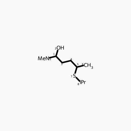 CNC(O)CCC(C)SC(C)C